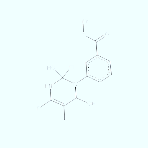 CC1=C(F)NC(O)(Cl)N(c2cccc(C(=O)OC(C)C)c2)C1O